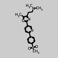 Cc1oc(-c2ccc(-c3ccc(S(C)(=O)=O)cc3)nc2)nc1CCN(C)C